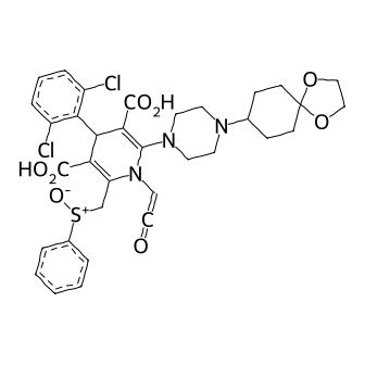 O=C=CN1C(C[S+]([O-])c2ccccc2)=C(C(=O)O)C(c2c(Cl)cccc2Cl)C(C(=O)O)=C1N1CCN(C2CCC3(CC2)OCCO3)CC1